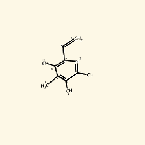 C=Cc1nc(Cl)c(C#N)c(C)c1CC